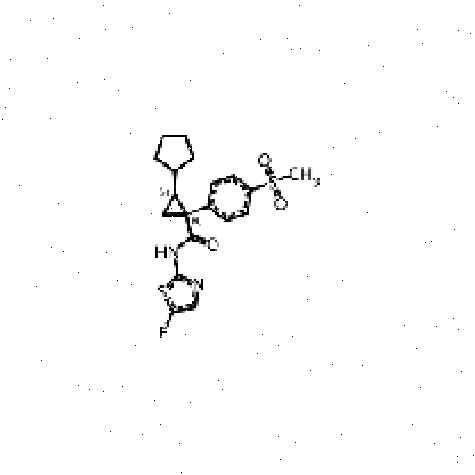 CS(=O)(=O)c1ccc([C@@]2(C(=O)Nc3ncc(F)s3)C[C@H]2C2CCCC2)cc1